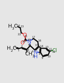 C=C/C=C(\C)C1c2[nH]c3ccc(Cl)cc3c2CCN1C(=O)OCCC